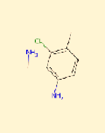 CN.Cc1ccc(N)cc1Cl